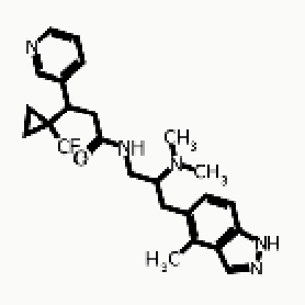 Cc1c(CC(CNC(=O)CC(c2cccnc2)C2(C(F)(F)F)CC2)N(C)C)ccc2[nH]ncc12